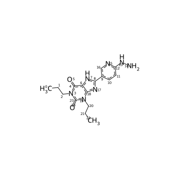 CCCn1c(=O)c2[nH]c(-c3ccc(NN)nc3)nc2n(CCC)c1=O